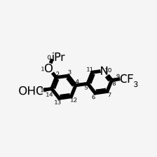 CC(C)Oc1cc(-c2ccc(C(F)(F)F)nc2)ccc1C=O